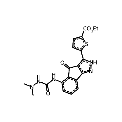 CCOC(=O)c1ccc(-c2[nH]nc3c2C(=O)c2c(NC(=O)NN(C)C)cccc2-3)s1